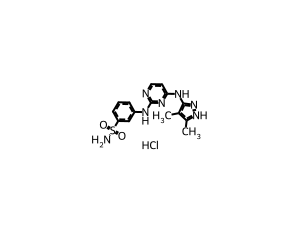 Cc1[nH]nc(Nc2ccnc(Nc3cccc(S(N)(=O)=O)c3)n2)c1C.Cl